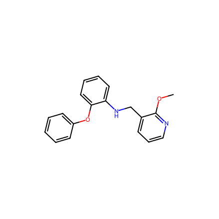 COc1ncccc1CNc1ccccc1Oc1ccccc1